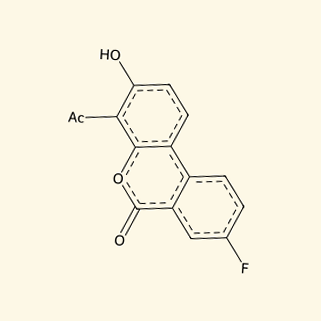 CC(=O)c1c(O)ccc2c1oc(=O)c1cc(F)ccc12